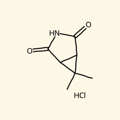 CC1(C)C2C(=O)NC(=O)C21.Cl